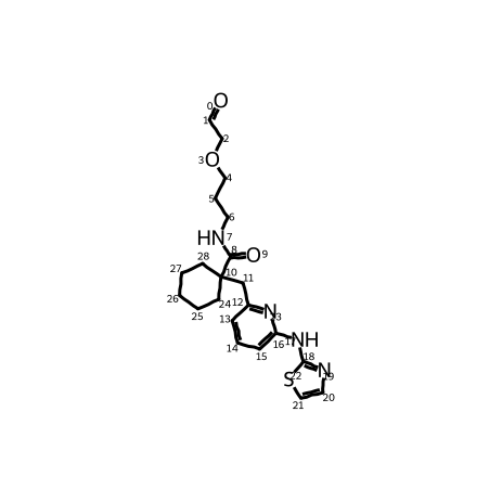 O=CCOCCCNC(=O)C1(Cc2cccc(Nc3nccs3)n2)CCCCC1